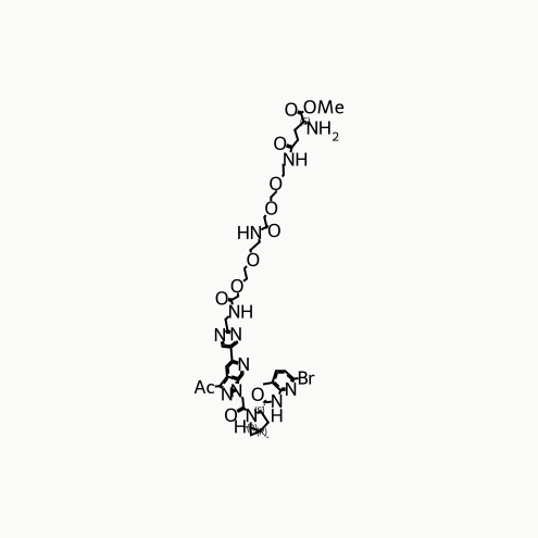 COC(=O)[C@@H](N)CCC(=O)NCCOCCOCC(=O)NCCOCCOCC(=O)NCc1ncc(-c2cc3c(C(C)=O)nn(CC(=O)N4[C@H](C(=O)Nc5nc(Br)ccc5C)C[C@@]5(C)C[C@@H]45)c3cn2)cn1